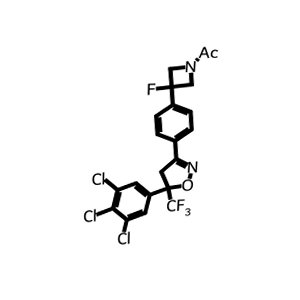 CC(=O)N1CC(F)(c2ccc(C3=NOC(c4cc(Cl)c(Cl)c(Cl)c4)(C(F)(F)F)C3)cc2)C1